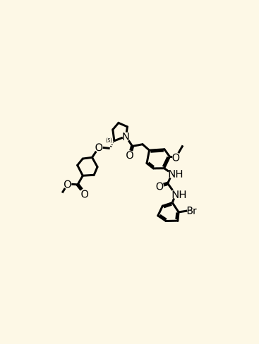 COC(=O)C1CCC(OC[C@@H]2CCCN2C(=O)Cc2ccc(NC(=O)Nc3ccccc3Br)c(OC)c2)CC1